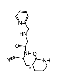 N#CC(C[C@@H]1CCCNC1=O)NC(=O)CNCc1ccccn1